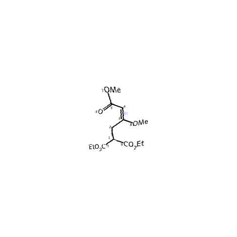 CCOC(=O)C(C/C(=C\C(=O)OC)OC)C(=O)OCC